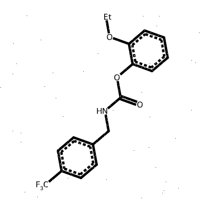 CCOc1ccccc1OC(=O)NCc1ccc(C(F)(F)F)cc1